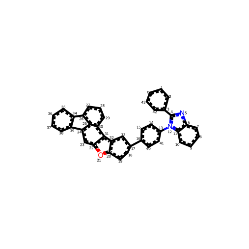 c1ccc(-c2nc3ccccc3n2-c2ccc(-c3ccc4oc5cc6c7c(cccc7c5c4c3)-c3ccccc3-6)cc2)cc1